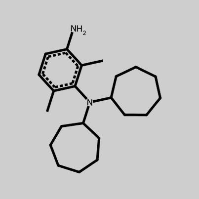 Cc1ccc(N)c(C)c1N(C1CCCCCC1)C1CCCCCC1